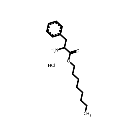 CCCCCCCCOC(=O)C(N)Cc1ccccc1.Cl